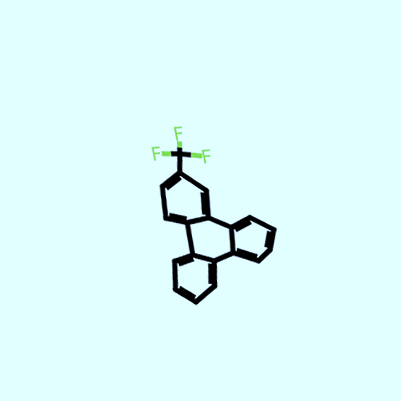 FC(F)(F)c1ccc2c3ccccc3c3ccccc3c2c1